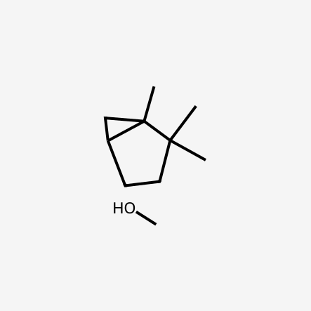 CC1(C)CCC2CC21C.CO